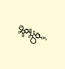 Cc1ccc(NC(C(=O)Nc2ccc3c(c2)NC(=O)C32CCOCC2)C2CCCCCCC2)nc1